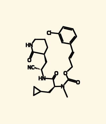 CN(C(=O)OC/C=C/c1cccc(Cl)c1)[C@@H](CC1CC1)C(=O)N[C@H](C#N)C[C@@H]1CCCNC1=O